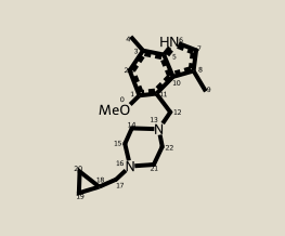 COc1cc(C)c2[nH]cc(C)c2c1CN1CCN(CC2CC2)CC1